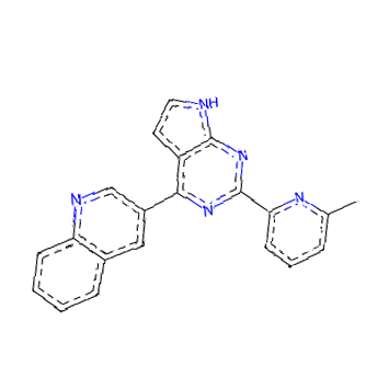 Cc1cccc(-c2nc(-c3cnc4ccccc4c3)c3cc[nH]c3n2)n1